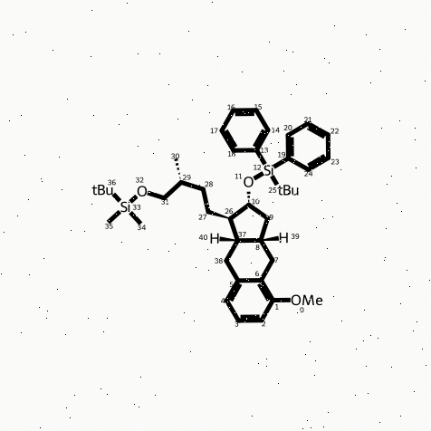 COc1cccc2c1C[C@H]1C[C@@H](O[Si](c3ccccc3)(c3ccccc3)C(C)(C)C)[C@H](CC[C@@H](C)CO[Si](C)(C)C(C)(C)C)[C@H]1C2